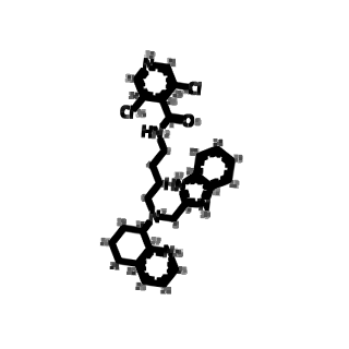 O=C(NCCCCN(Cc1nc2ccccc2[nH]1)C1CCCc2cccnc21)c1c(Cl)cncc1Cl